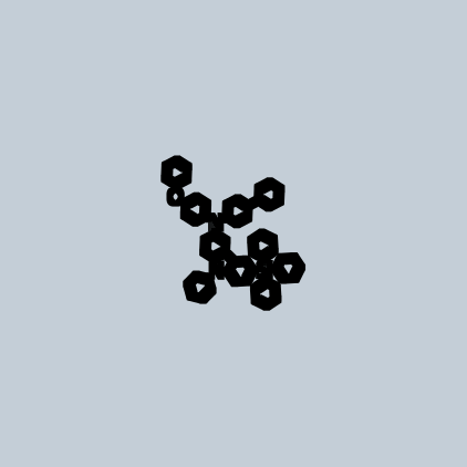 c1ccc(Oc2ccc(N(c3ccc(-c4ccccc4)cc3)c3ccc4c(c3)c3cc([Si](c5ccccc5)(c5ccccc5)c5ccccc5)ccc3n4-c3ccccc3)cc2)cc1